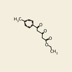 CCOC(=O)CC(=O)CC(=O)c1ccc(C)cc1